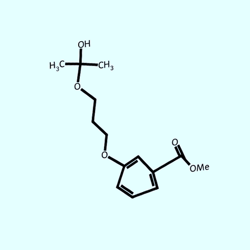 COC(=O)c1cccc(OCCCOC(C)(C)O)c1